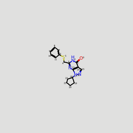 O=c1[nH]c(CSc2ccccc2)nc2c1cnn2C1CCCC1